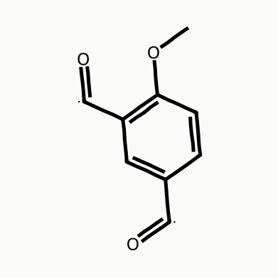 COc1ccc([C]=O)cc1[C]=O